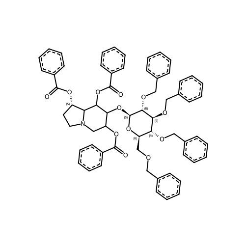 O=C(OC1CN2CC[C@H](OC(=O)c3ccccc3)C2C(OC(=O)c2ccccc2)C1O[C@@H]1O[C@H](COCc2ccccc2)[C@@H](OCc2ccccc2)[C@H](OCc2ccccc2)[C@H]1OCc1ccccc1)c1ccccc1